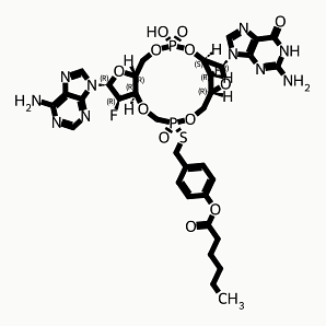 CCCCCC(=O)Oc1ccc(CSP2(=O)CO[C@H]3[C@@H](F)[C@H](n4cnc5c(N)ncnc54)O[C@@H]3COP(=O)(O)O[C@@H]3[C@H](F)[C@@H](CO2)O[C@H]3n2cnc3c(=O)[nH]c(N)nc32)cc1